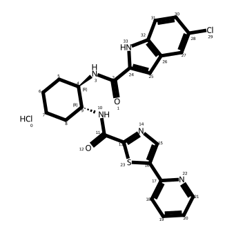 Cl.O=C(N[C@@H]1CCCC[C@H]1NC(=O)c1ncc(-c2ccccn2)s1)c1cc2cc(Cl)ccc2[nH]1